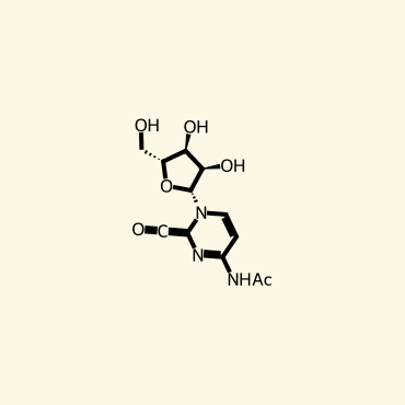 CC(=O)NC1=NC(=C=O)N([C@@H]2O[C@H](CO)[C@@H](O)[C@H]2O)C=C1